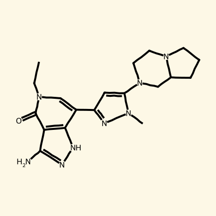 CCn1cc(-c2cc(N3CCN4CCCC4C3)n(C)n2)c2[nH]nc(N)c2c1=O